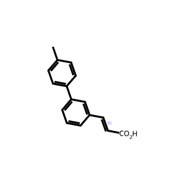 Cc1ccc(-c2cccc(/C=C/C(=O)O)c2)cc1